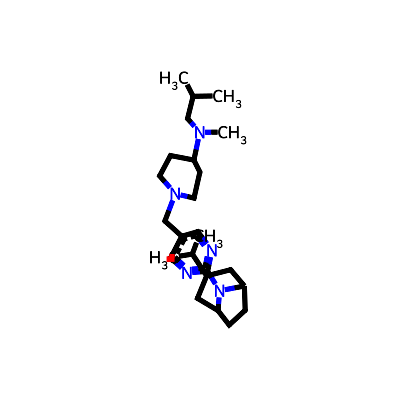 CC(C)CN(C)C1CCN(Cc2cnc(N3C4CCC3CC(C(C)C)C4)nc2)CC1